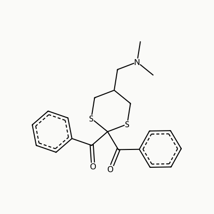 CN(C)CC1CSC(C(=O)c2ccccc2)(C(=O)c2ccccc2)SC1